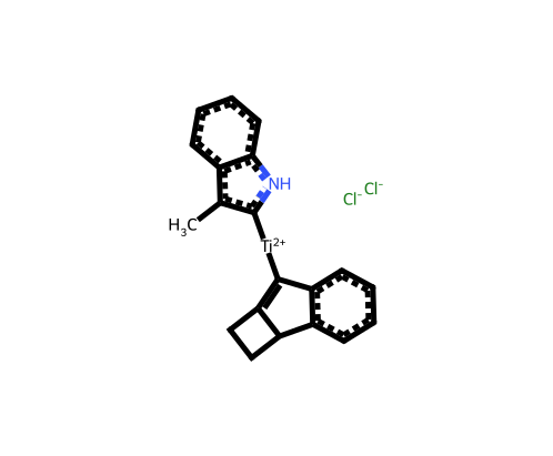 Cc1[c]([Ti+2][C]2=C3CCC3c3ccccc32)[nH]c2ccccc12.[Cl-].[Cl-]